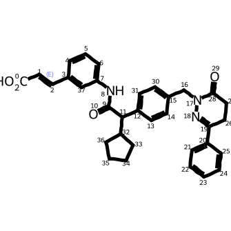 O=C(O)/C=C/c1cccc(NC(=O)C(c2ccc(CN3N=C(c4ccccc4)CCC3=O)cc2)C2CCCC2)c1